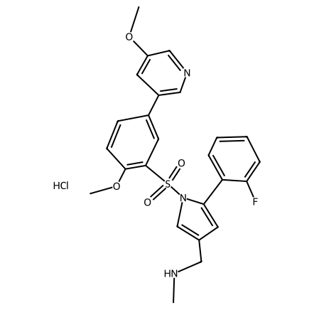 CNCc1cc(-c2ccccc2F)n(S(=O)(=O)c2cc(-c3cncc(OC)c3)ccc2OC)c1.Cl